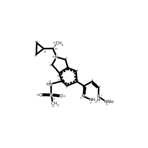 CNN/C=C\C(=N/N)c1cc2c(c(NS(C)(=O)=O)c1)CN([C@@H](C)C1CC1)C2